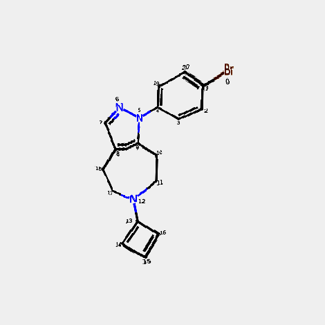 Brc1ccc(-n2ncc3c2CCN(C2=CC=C2)CC3)cc1